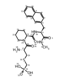 CNC(=O)[C@H](Cc1ccc2ccccc2c1)NC(=O)[C@@H]1CCCCN1C(=O)[C@@H](N)CSCP(=O)(O)O